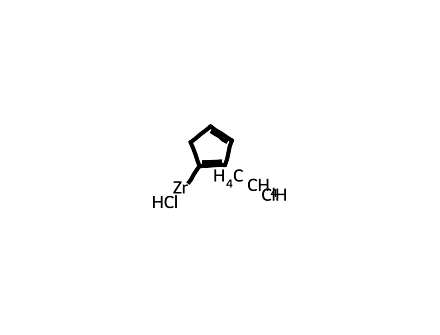 C.C.Cl.Cl.[Zr][C]1=CC=CC1